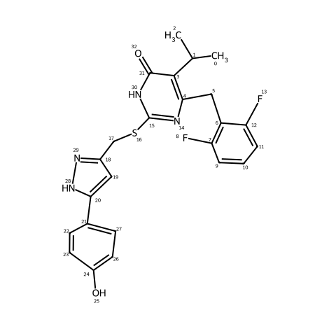 CC(C)c1c(Cc2c(F)cccc2F)nc(SCc2cc(-c3ccc(O)cc3)[nH]n2)[nH]c1=O